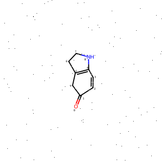 O=C1C=CC2=C(CCN2)C1